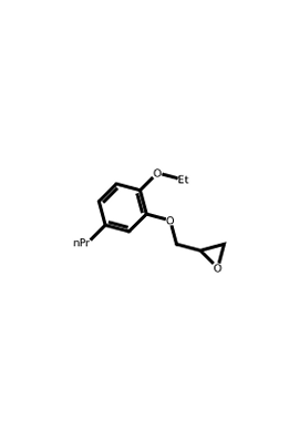 CCCc1ccc(OCC)c(OCC2CO2)c1